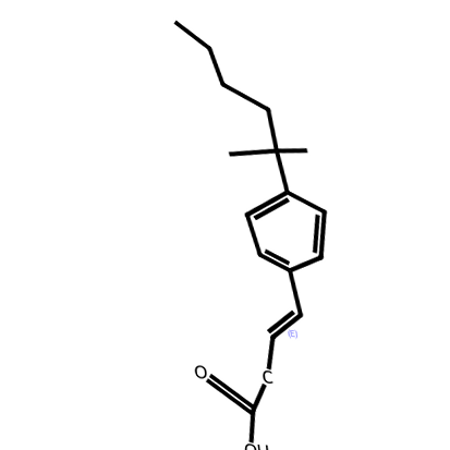 CCCCC(C)(C)c1ccc(/C=C/CC(=O)O)cc1